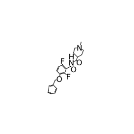 CN1CCC(C(=O)NC(=O)c2c(F)ccc(OCc3ccccc3)c2F)CC1